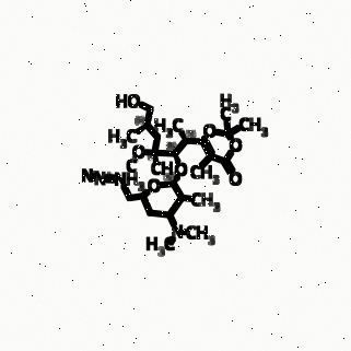 CO[C@](C)(C[C@@H](C)CO)[C@H](O[C@@H]1OC(CN=[N+]=[N-])CC(N(C)C)C1C)[C@@H](C)C1=C(C)C(=O)OC(C)(C)O1